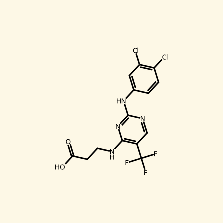 O=C(O)CCNc1nc(Nc2ccc(Cl)c(Cl)c2)ncc1C(F)(F)F